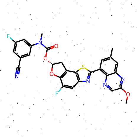 COc1cnc2c(-c3nc4cc(F)c5c(c4s3)C[C@@H](OC(=O)N(C)c3cc(F)cc(C#N)c3)O5)cc(C)cc2n1